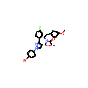 COc1ccc(CCN2C(=O)[C@H](C)O[C@@H]2c2cn(-c3ccc(Br)cc3)nc2-c2ccc(F)cc2)cc1